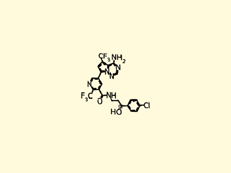 Nc1ncnn2c(-c3cnc(C(F)(F)F)c(C(=O)NCC[C@H](O)c4ccc(Cl)cc4)c3)cc(C(F)(F)F)c12